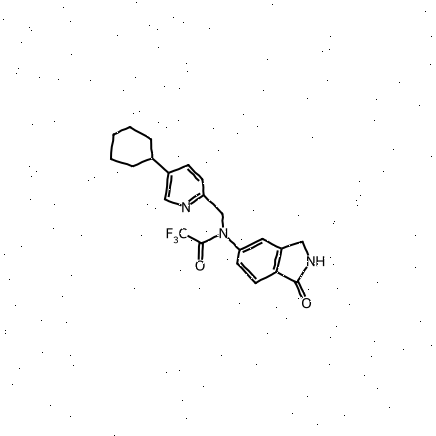 O=C1NCc2cc(N(Cc3ccc(C4CCCCC4)cn3)C(=O)C(F)(F)F)ccc21